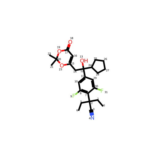 CCC(C#N)(CC)c1c(F)cc(C(O)(CC2=CC(=O)OC(C)(C)O2)C2CCCC2)cc1F